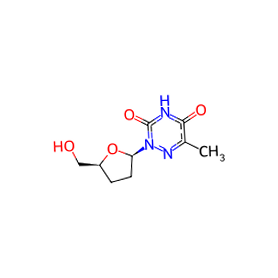 Cc1nn([C@H]2CC[C@@H](CO)O2)c(=O)[nH]c1=O